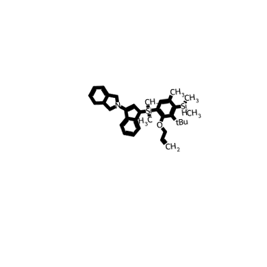 C=CCOc1c([Si](C)(C)C2C=C(N3CC4=CC=CCC4C3)c3ccccc32)cc(C)c([SiH](C)C)c1C(C)(C)C